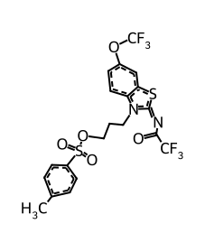 Cc1ccc(S(=O)(=O)OCCCn2/c(=N\C(=O)C(F)(F)F)sc3cc(OC(F)(F)F)ccc32)cc1